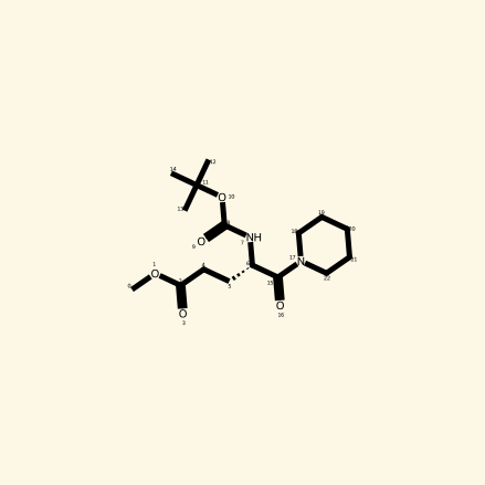 COC(=O)CC[C@H](NC(=O)OC(C)(C)C)C(=O)N1CCCCC1